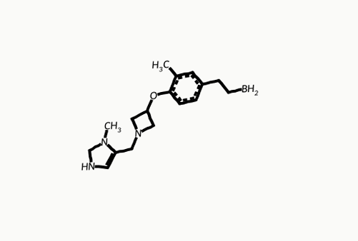 BCCc1ccc(OC2CN(CC3=CNCN3C)C2)c(C)c1